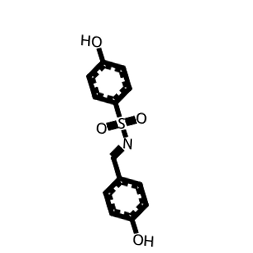 O=S(=O)(/N=C/c1ccc(O)cc1)c1ccc(O)cc1